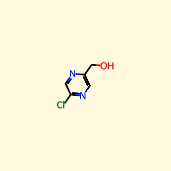 OCc1cnc(Cl)cn1